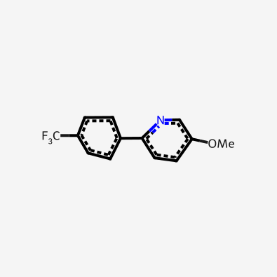 COc1ccc(-c2ccc(C(F)(F)F)cc2)nc1